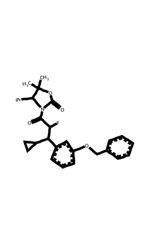 CC(C)C1N(C(=O)C(F)C(c2cccc(OCc3ccccc3)c2)C2CC2)C(=O)OC1(C)C